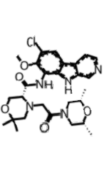 COc1c(Cl)cc2c([nH]c3cnccc32)c1NC(=O)[C@H]1COC(C)(C)CN1CC(=O)N1C[C@@H](C)O[C@@H](C)C1